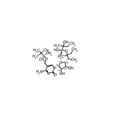 CCC(C)(OP(=O)(O)C(C)(O)CC)C(C)[C@H]1O[C@@H](n2cc(CO[Si](C)(C)C(C)(C)C)c(N)nc2=O)[C@H](O)[C@@H]1O